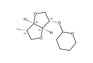 C[C@H]1CO[C@H]2[C@@H]1OC[C@@H]2OC1CCCCO1